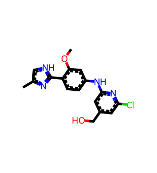 COc1cc(Nc2cc(CO)cc(Cl)n2)ccc1-c1nc(C)c[nH]1